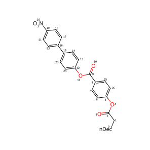 CCCCCCCCCCCC(=O)Oc1ccc(C(=O)Oc2ccc(-c3ccc([N+](=O)[O-])cc3)cc2)cc1